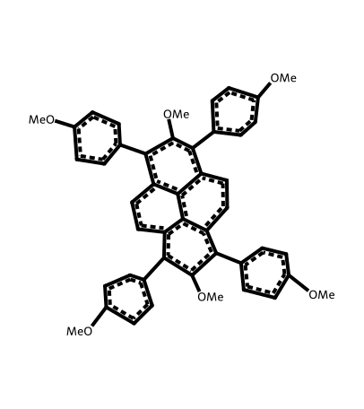 COc1ccc(-c2c(OC)c(-c3ccc(OC)cc3)c3ccc4c(-c5ccc(OC)cc5)c(OC)c(-c5ccc(OC)cc5)c5ccc2c3c54)cc1